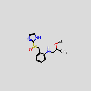 CCOC(C)CNc1ccccc1C[S+]([O-])c1ncc[nH]1